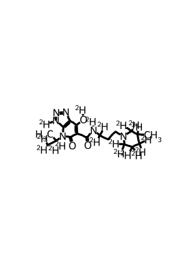 [2H]Oc1c(C(=O)N([2H])C([2H])([2H])CCN2C([2H])([2H])C([2H])([2H])C([2H])([2H])C([2H])(C)C2([2H])[2H])c(=O)n(C([2H])(C)C([2H])([2H])[2H])c2c1nnn2[2H]